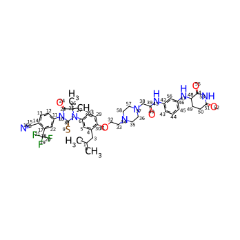 CC(C)Cc1cc(N2C(=S)N(c3ccc(C#N)c(C(F)(F)F)c3)C(=O)C2(C)C)ccc1OCCN1CCN(CC(=O)Nc2cccc(NC3CCC(=O)NC3=O)c2)CC1